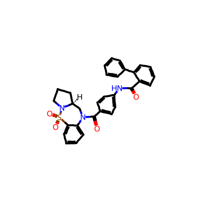 O=C(Nc1ccc(C(=O)N2C[C@@H]3CCCN3S(=O)(=O)c3ccccc32)cc1)c1ccccc1-c1ccccc1